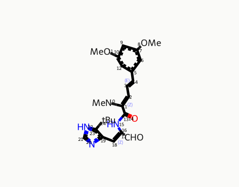 CN/C(=C\C=C\c1cc(OC)cc(OC)c1)C(=O)N/C(C=O)=C\c1nc[nH]c1C(C)(C)C